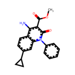 COC(=O)c1c(N)c2ccc(C3CC3)cc2n(-c2ccccc2)c1=O